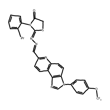 CC(C)c1ccccc1N1C(=O)CSC1=NN=Cc1ccc2c(ccc3c2ncn3-c2ccc(OC(F)(F)F)cc2)n1